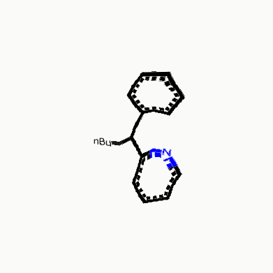 CCCCC(c1ccccc1)c1ccccn1